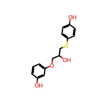 Oc1ccc(SCC(O)COc2cccc(O)c2)cc1